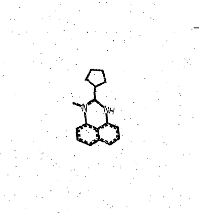 CN1c2cccc3cccc(c23)NC1C1CCCC1